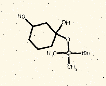 CC(C)(C)[Si](C)(C)OC1(O)CCCC(O)C1